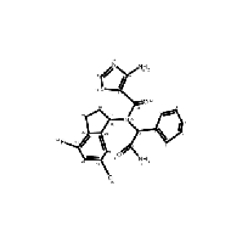 NC(=O)C(c1ccccc1)N(C(=O)c1scnc1N)[C@@H]1CCc2c(F)cc(Cl)cc21